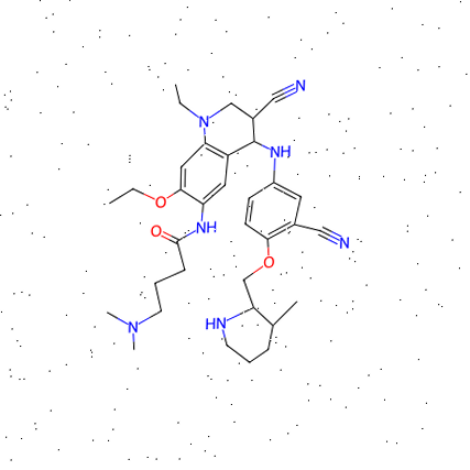 CCOc1cc2c(cc1NC(=O)CCCN(C)C)C(Nc1ccc(OCC3NCCCC3C)c(C#N)c1)C(C#N)CN2CC